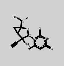 C#CC1(N)C2CC2([C@@H](C)O)O[C@H]1n1c(C)cc(=O)[nH]c1=O